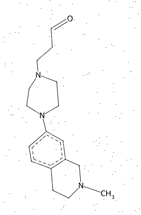 CN1CCc2ccc(N3CCN(CCC=O)CC3)cc2C1